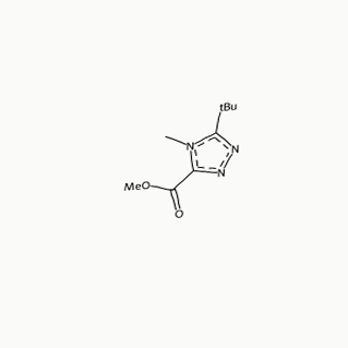 COC(=O)c1nnc(C(C)(C)C)n1C